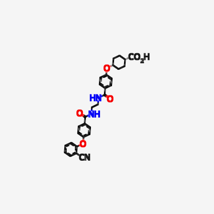 N#Cc1ccccc1Oc1ccc(C(=O)NCCNC(=O)c2ccc(O[C@H]3CC[C@@H](C(=O)O)CC3)cc2)cc1